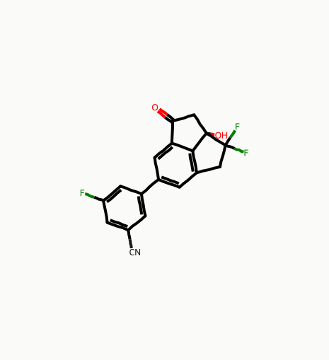 N#Cc1cc(F)cc(-c2cc3c4c(c2)C(=O)CC4(O)C(F)(F)C3)c1